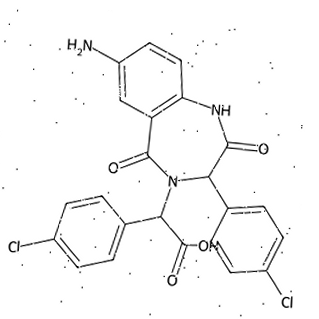 Nc1ccc2c(c1)C(=O)N(C(C(=O)O)c1ccc(Cl)cc1)C(c1ccc(Cl)cc1)C(=O)N2